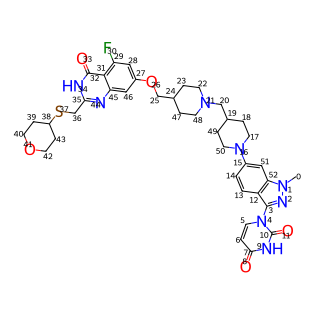 Cn1nc(-n2ccc(=O)[nH]c2=O)c2ccc(N3CCC(CN4CCC(COc5cc(F)c6c(=O)[nH]c(CSC7CCOCC7)nc6c5)CC4)CC3)cc21